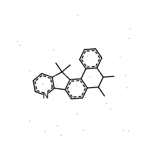 CC1c2ccccc2-c2c(ccc3c2C(C)(C)c2cccnc2-3)C1C